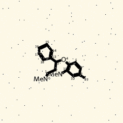 CNCCC(Oc1ccc(I)cc1NC)c1ccccc1